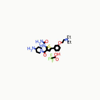 CCN(CC)CCOc1cccc(-c2cc(C(=O)N3CCC(N)CC3)c(NC(N)=O)s2)c1.O=C(O)C(F)(F)F